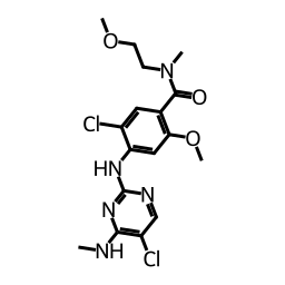 CNc1nc(Nc2cc(OC)c(C(=O)N(C)CCOC)cc2Cl)ncc1Cl